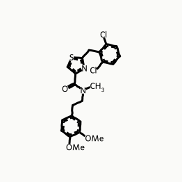 COc1ccc(CCN(C)C(=O)c2csc(Cc3c(Cl)cccc3Cl)n2)cc1OC